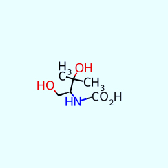 CC(C)(O)[C@H](CO)NC(=O)O